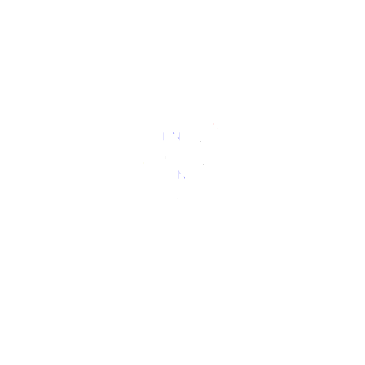 CC1(C)C(=O)NC(=S)N1c1ccccc1